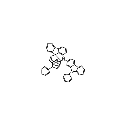 c1ccc(-c2ccc(N(c3ccc4c5ccccc5n(-c5ccccc5)c4c3)c3cccc4c3C3(c5ccccc5-4)C4CC5CC(C4)CC3C5)cc2)cc1